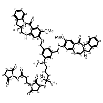 COc1cc2c(cc1OCc1cc(COc3cc4c(cc3OC)C(=O)N3c5ccccc5C[C@H]3CN4)cc(N(C)CCCC(C)(C)SC3CC(=O)N(CCC(=O)ON4C(=O)CCC4=O)C3=O)c1)N=C[C@@H]1Cc3ccccc3N1C2=O